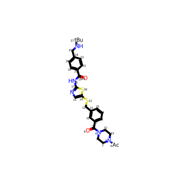 CC(=O)N1CCN(C(=O)c2cccc(CSc3cnc(NC(=O)c4ccc(CNC(C)(C)C)cc4)s3)c2)CC1